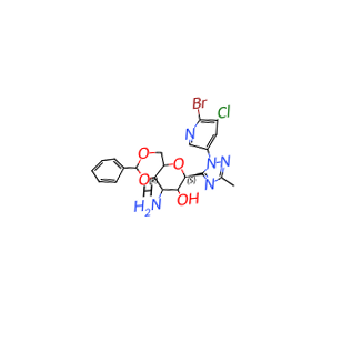 Cc1nc([C@@H]2OC3COC(c4ccccc4)O[C@@H]3C(N)C2O)n(-c2cnc(Br)c(Cl)c2)n1